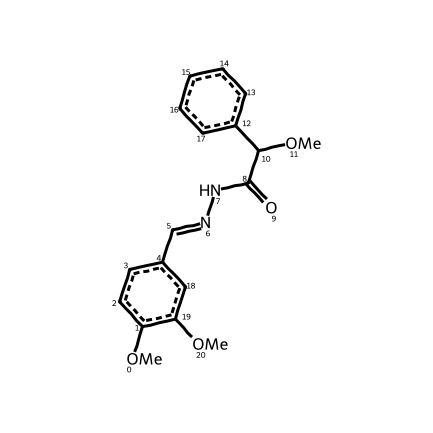 COc1ccc(C=NNC(=O)C(OC)c2ccccc2)cc1OC